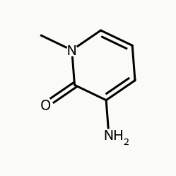 Cn1cccc(N)c1=O